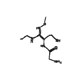 CCNC(=[SH]OC)C(CS)NC(=O)CN